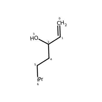 C=CC(O)CCC(C)C